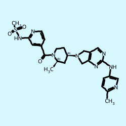 Cc1ccc(Nc2ncc3c(n2)CN([C@@H]2CCN(C(=O)c4ccnc(NS(C)(=O)=O)c4)[C@H](C)C2)C3)cn1